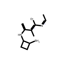 BC1CCC1NC(=C)/C(C)=C(CC)/N=C\C